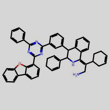 NC/C(=C1\NC(C2=CCCC=C2)C(c2cccc(-c3nc(-c4ccccc4)nc(-c4cccc5c4oc4ccccc45)n3)c2)c2ccccc21)C1CC=CCC1